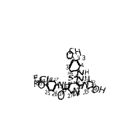 COc1ccc(NC(=S)Nc2cc(C(=O)Nc3ccc(OC(F)(F)Cl)cc3)cnc2N2CC[C@@H](O)C2)cc1